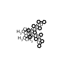 CC(C)(C)c1ccc2c(c1)B1c3cc(C(C)(C)C)ccc3N3c4cccc5c4B(c4ccccc4N5c4cccc5c4oc4ccccc45)c4cc5c(c1c43)N2c1cccc2c1B5c1ccccc1N2c1cccc2c1oc1ccccc12